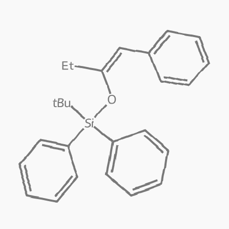 CCC(=Cc1ccccc1)O[Si](c1ccccc1)(c1ccccc1)C(C)(C)C